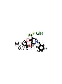 CO[C@@]1(C)O[C@@H]2[C@@H](C(F)F)CN(Cc3ccccc3)C[C@H]2O[C@]1(C)OC.Cl